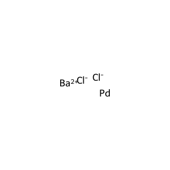 [Ba+2].[Cl-].[Cl-].[Pd]